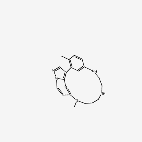 Cc1ccc2cc1-c1cnn3ccc(nc13)N(C)CCCNCCN2